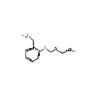 CCOCOc1ccccc1CC